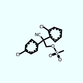 CS(=O)(=O)OCC(C#N)(c1ccc(Cl)cc1)c1ccccc1Cl